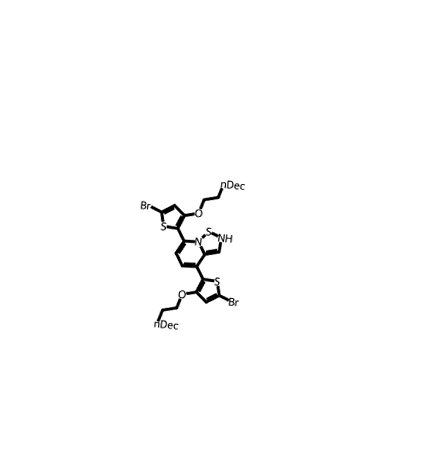 CCCCCCCCCCCCOc1cc(Br)sc1C1=CC=C(c2sc(Br)cc2OCCCCCCCCCCCC)N2SNC=C12